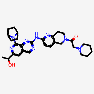 CC(O)c1cc2cnc(Nc3ccc4c(n3)CCN(C(=O)CN3CCCCC3)C4)nc2c(N2C3CCC2CC3)n1